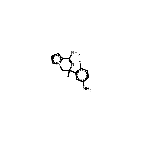 CC1(c2cc(N)ccc2F)Cn2cccc2C(N)=N1